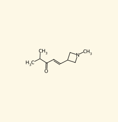 CC(C)C(=O)/C=C/C1CN(C)C1